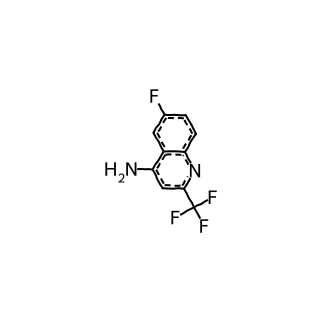 Nc1cc(C(F)(F)F)nc2ccc(F)cc12